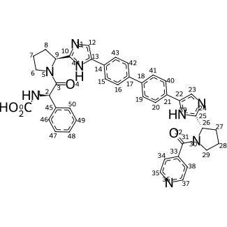 O=C(O)N[C@@H](C(=O)N1CCC[C@H]1c1ncc(-c2ccc(-c3ccc(-c4cnc([C@@H]5CCCN5C(=O)c5ccncc5)[nH]4)cc3)cc2)[nH]1)c1ccccc1